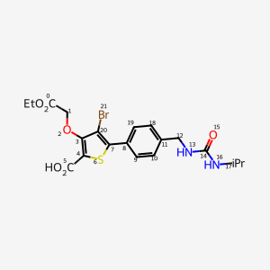 CCOC(=O)COc1c(C(=O)O)sc(-c2ccc(CNC(=O)NC(C)C)cc2)c1Br